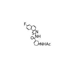 CC(=O)N[C@H]1CCC=C(C(=O)Nc2nc3ccc4cc(F)ccc4c3s2)C1